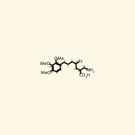 CCC(CCCc1ccc(OC)c(OC)c1OC)CC(CN)C(=O)O